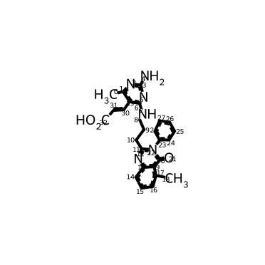 Cc1nc(N)nc(NCCCc2nc3cccc(C)c3c(=O)n2-c2ccccc2)c1/C=C/C(=O)O